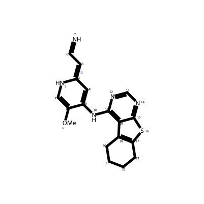 COC1=CN/C(=C\C=N)C=C1Nc1ncnc2sc3c(c12)CCCC3